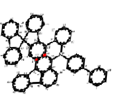 c1ccc(-c2ccc(N(c3ccccc3-c3cccc4c3-c3ccccc3C43c4ccccc4-c4ccccc43)c3ccc4c5c(cccc35)-c3ccccc3-4)cc2)cc1